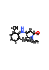 CCCCCc1cccc(C#N)c1NC1=CC(=O)N(CCC)C1